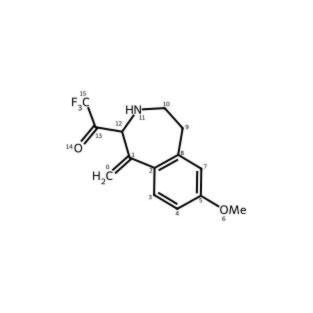 C=C1c2ccc(OC)cc2CCNC1C(=O)C(F)(F)F